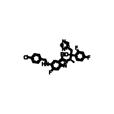 CCc1c2cc(NCc3ccc(Cl)cc3)c(F)cc2nn1[C@H](C)[C@](O)(Cn1cncn1)c1ccc(F)cc1F